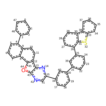 c1ccc(-c2cccc3c2ccc2c4nc(-c5cccc(-c6cccc(-c7cccc8c7sc7ccccc78)c6)c5)cnc4oc32)cc1